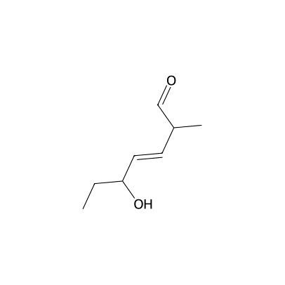 CCC(O)/C=C/C(C)C=O